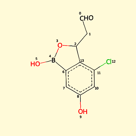 O=CCC1OB(O)c2cc(O)cc(Cl)c21